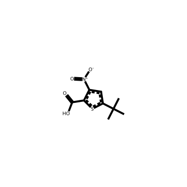 CC(C)(C)c1cc([N+](=O)[O-])c(C(=O)O)s1